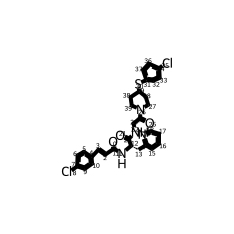 O=C(/C=C/c1ccc(Cl)cc1)N[C@@H](Cc1ccccn1)C(=O)NCC(=O)N1CCC(Sc2ccc(Cl)cc2)CC1